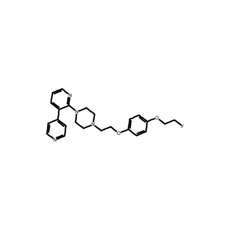 FCCOc1ccc(OCCN2CCN(c3ncccc3-c3ccncc3)CC2)cc1